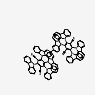 N#Cc1c(-n2c3ccccc3c3ccccc32)c(-n2c3ccccc3c3ccccc32)c(C#N)c(-n2c3ccccc3c3cc(-c4ccc5c(c4)c4ccccc4n5-c4c(C#N)c(-n5c6ccccc6c6ccccc65)c(C#N)c(-n5c6ccccc6c6ccccc65)c4-n4c5ccccc5c5ccccc54)ccc32)c1-n1c2ccccc2c2ccccc21